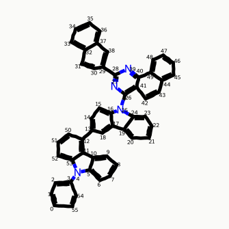 c1ccc(-n2c3ccccc3c3c(-c4ccc5c(c4)c4ccccc4n5-c4nc(-c5ccc6ccccc6c5)nc5c4ccc4ccccc45)cccc32)cc1